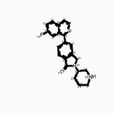 O=C1c2ccc(-c3nccc4ccc(F)cc34)cc2CN1C1CCCNC1